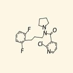 O=C(c1cccnc1Cl)N(CCCc1c(F)cccc1F)N1CCCC1